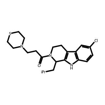 CC(C)CC1c2[nH]c3ccc(Cl)cc3c2CCN1C(=O)CCN1CCSCC1